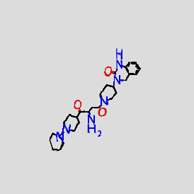 NC(CC(=O)N1CCC(N2Cc3ccccc3NC2=O)CC1)C(=O)C1CCN(N2CCCCC2)CC1